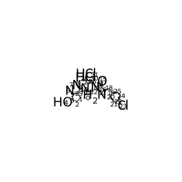 C[C@@H]1C[C@@H](O)c2ncnc(N3CCN(C(=O)[C@H](N)Cc4ccc(Cl)cc4)C[C@@H]3C)c21.Cl.Cl